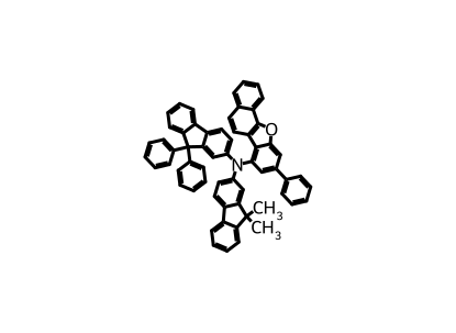 CC1(C)c2ccccc2-c2ccc(N(c3ccc4c(c3)C(c3ccccc3)(c3ccccc3)c3ccccc3-4)c3cc(-c4ccccc4)cc4oc5c6ccccc6ccc5c34)cc21